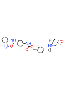 CC1(CNC2C[C@@H]2c2ccc(COC(=O)Nc3ccc(C(=O)Nc4ccccc4N)cc3)cc2)COC1